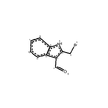 O=Cc1c(CBr)[nH]c2ccccc12